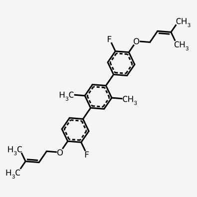 CC(C)=CCOc1ccc(-c2cc(C)c(-c3ccc(OCC=C(C)C)c(F)c3)cc2C)cc1F